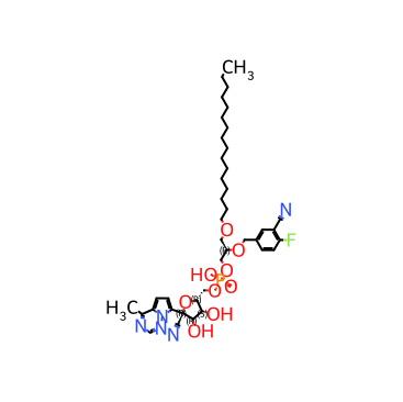 CCCCCCCCCCCCCCCCOC[C@H](COP(=O)(O)OC[C@H]1O[C@@](C#N)(c2ccc3c(C)ncnn23)[C@H](O)[C@@H]1O)OCc1ccc(F)c(C#N)c1